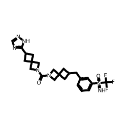 N=S(=O)(c1cccc(CC2CC3(C2)CN(C(=O)N2CC4(CC(c5ncn[nH]5)C4)C2)C3)c1)C(F)(F)F